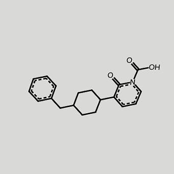 O=C(O)n1cccc(C2CCC(Cc3ccccc3)CC2)c1=O